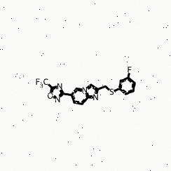 Fc1cccc(SCc2cn3cc(-c4noc(C(F)(F)F)n4)ccc3n2)c1